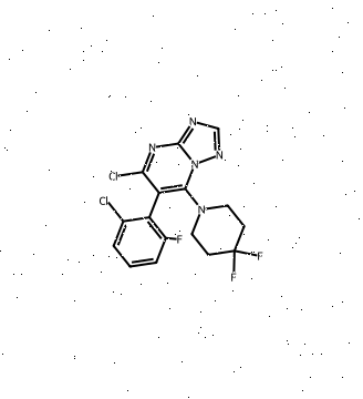 Fc1cccc(Cl)c1-c1c(Cl)nc2ncnn2c1N1CCC(F)(F)CC1